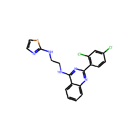 Clc1ccc(-c2nc(NCCNc3nccs3)c3ccccc3n2)c(Cl)c1